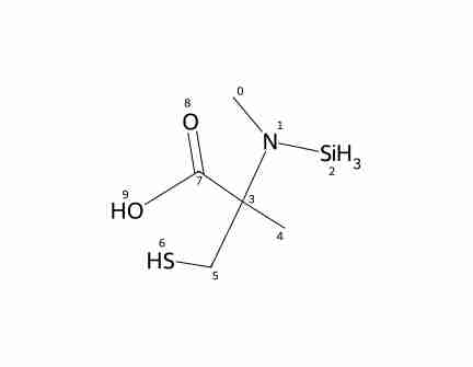 CN([SiH3])C(C)(CS)C(=O)O